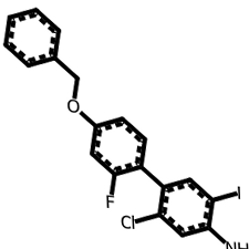 Nc1cc(Cl)c(-c2ccc(OCc3ccccc3)cc2F)cc1I